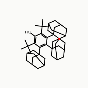 CC(C)(C)c1c(O)c(C(C)(C)C)c(C23CC4CC(CC(C4)C2)C3)c(C23CC4CC(CC(C4)C2)C3)c1C12CC3CC(CC(C3)C1)C2